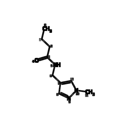 CCCC(=O)NCc1cnn(C)c1